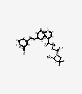 N#CC1CC(F)(F)CN1C(=O)CNC(=O)c1ccnc2ccc(/C=C/c3cc[nH]c(=O)c3)cc12